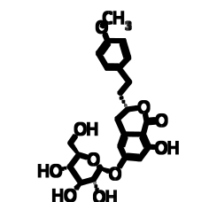 COc1ccc(CC[C@H]2Cc3cc(O[C@@H]4O[C@H](CO)[C@@H](O)[C@H](O)[C@H]4O)cc(O)c3C(=O)O2)cc1